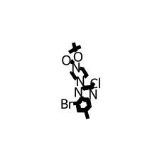 Cc1cc(Br)c2nc(N3CCN(C(=O)OC(C)(C)C)CC3)c(Cl)nc2c1